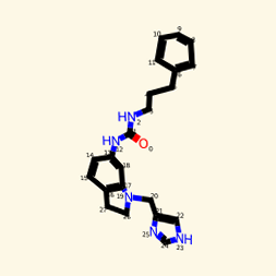 O=C(NCCCc1ccccc1)Nc1ccc2c(c1)N(Cc1c[nH]cn1)CC2